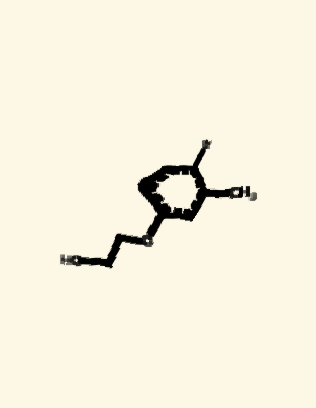 Cc1cc(OCCO)ccc1Br